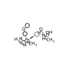 C=CC(=O)N[C@@H](CO)C(=O)N1CCC(C#Cc2c(-c3ccc(Oc4ccccc4)cc3)c3c(N)ncnc3n2C)CC1